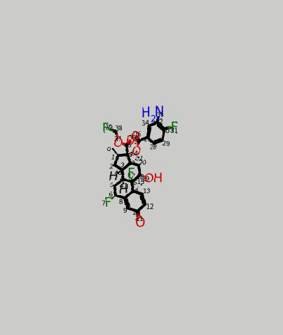 C[C@@H]1C[C@H]2[C@@H]3C[C@H](F)C4=CC(=O)C=C[C@]4(C)[C@@]3(F)[C@@H](O)C[C@]2(C)[C@@]1(OC(=O)c1ccc(F)c(N)c1)C(=O)OCF